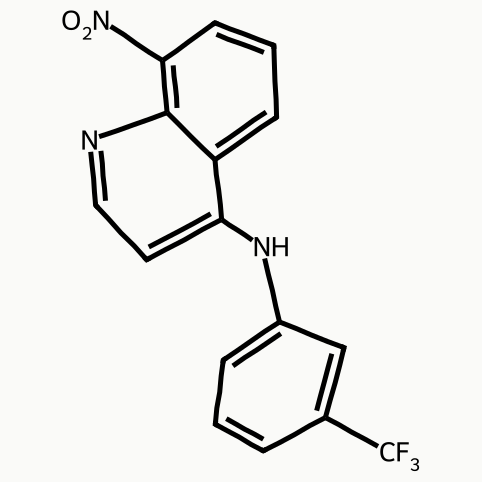 O=[N+]([O-])c1cccc2c(Nc3cccc(C(F)(F)F)c3)ccnc12